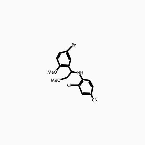 COCC(Nc1ccc(C#N)cc1Cl)c1cc(Br)ccc1OC